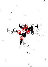 C=CCOCc1cc(-c2oc3c([N+](=O)[O-])cc(C)cc3c(=O)c2OCC=C)ccc1OCC=C